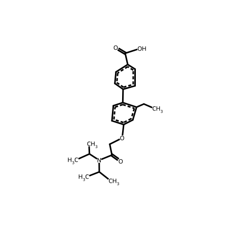 CCc1cc(OCC(=O)N(C(C)C)C(C)C)ccc1-c1ccc(C(=O)O)cc1